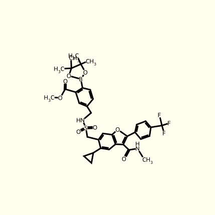 CNC(=O)c1c(-c2ccc(C(F)(F)F)cc2)oc2cc(CS(=O)(=O)NCc3ccc(B4OC(C)(C)C(C)(C)O4)c(C(=O)OC)c3)c(C3CC3)cc12